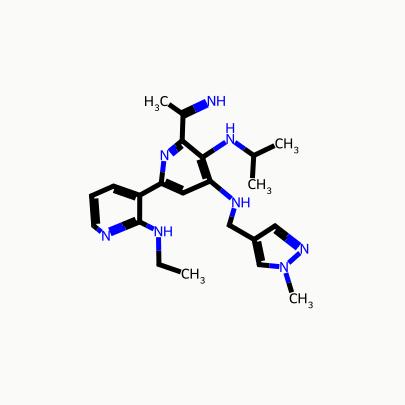 CCNc1ncccc1-c1cc(NCc2cnn(C)c2)c(NC(C)C)c(C(C)=N)n1